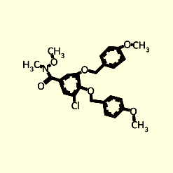 COc1ccc(COc2cc(C(=O)N(C)OC)cc(Cl)c2OCc2ccc(OC)cc2)cc1